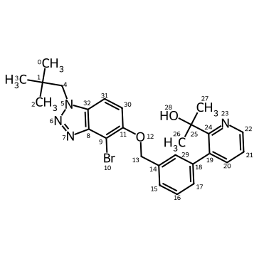 CC(C)(C)Cn1nnc2c(Br)c(OCc3cccc(-c4cccnc4C(C)(C)O)c3)ccc21